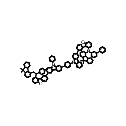 Cc1ccc(C(Cc2cccc3c2-c2ccccc2C3(C)C)c2cccc3oc4ccc(-c5ccc6c(c5)c5ccc(-c7ccc(-n8c9ccccc9c9cc(-c%10ccc%11oc%12cccc(N(c%13cccc(-c%14ccccc%14)c%13)c%13cccc%14c%13-c%13ccccc%13C%14(C)C)c%12c%11c%10)ccc98)cc7)cc5n6-c5ccccc5)cc4c23)cc1